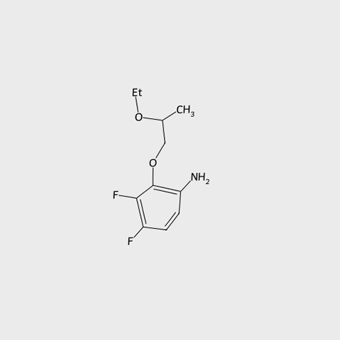 CCOC(C)COc1c(N)ccc(F)c1F